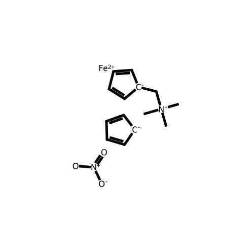 C[N+](C)(C)C[c-]1cccc1.O=[N+]([O-])[O-].[Fe+2].c1cc[cH-]c1